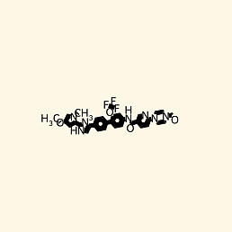 COC1CC(c2nc(-c3ccc(-c4ccc(NC(=O)c5ccc(N6CCN(C=O)CC6)nc5)cc4OC(F)(F)F)cc3)c[nH]2)N(C)C1